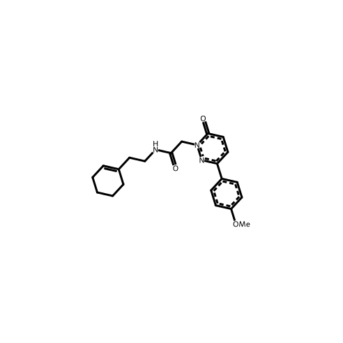 COc1ccc(-c2ccc(=O)n(CC(=O)NCCC3=CCCCC3)n2)cc1